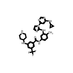 Cc1ccc(NC(=O)c2cc(NC3CCNCC3)cc(C(F)(F)F)c2)cc1Nc1nccn1-c1cc(NC2CC2)ncn1